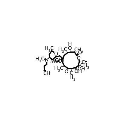 C#CCCN(C)[C@H]1C[C@@H](C)O[C@@](O)(C[C@@]2(OC)C[C@@H](C)C(=O)[C@H](C)C(O)[C@](C)(O)[C@@H](CC)OC(=O)[C@H](C)[C@@H](O)[C@@H](C)C2)C1